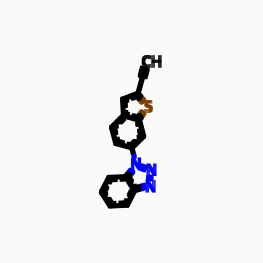 C#Cc1cc2ccc(-n3nnc4ccccc43)cc2s1